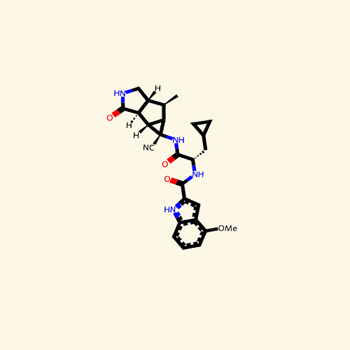 COc1cccc2[nH]c(C(=O)N[C@@H](CC3CC3)C(=O)N[C@@]3(C#N)C4[C@H](C)[C@H]5CNC(=O)[C@@H]5[C@H]43)cc12